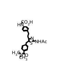 CC(=O)Nc1nc(CCc2ccc(NC(=O)O)cc2)c(Cc2ccc(C(=O)N(C)C)cc2)s1